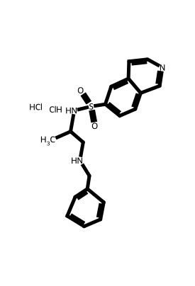 CC(CNCc1ccccc1)NS(=O)(=O)c1ccc2cnccc2c1.Cl.Cl